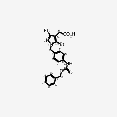 CCc1nn(Cc2ccc(NC(=O)OCc3ccccc3)cc2)c(CC)c1CC(=O)O